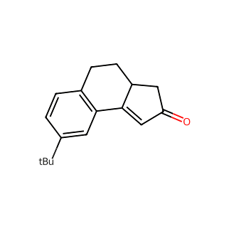 CC(C)(C)c1ccc2c(c1)C1=CC(=O)CC1CC2